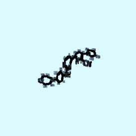 N#Cc1nc(-c2ccnc(Nc3ccc(N4CCOCC4)cc3)n2)ccc1N1CCCC1